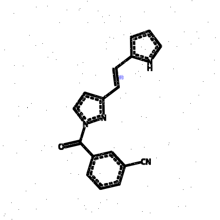 N#Cc1cccc(C(=O)n2ccc(/C=C/c3ccc[nH]3)n2)c1